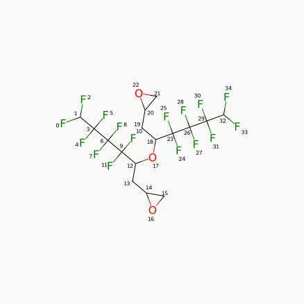 FC(F)C(F)(F)C(F)(F)C(F)(F)C(CC1CO1)OC(CC1CO1)C(F)(F)C(F)(F)C(F)(F)C(F)F